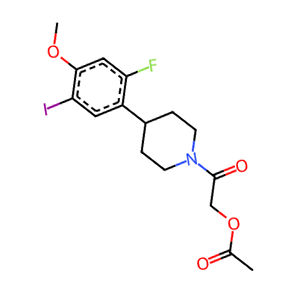 COc1cc(F)c(C2CCN(C(=O)COC(C)=O)CC2)cc1I